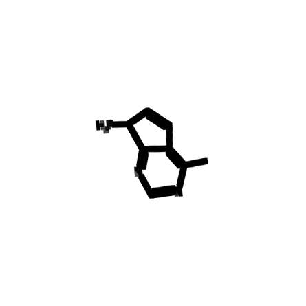 Cc1ncnc2c1C=CC2P